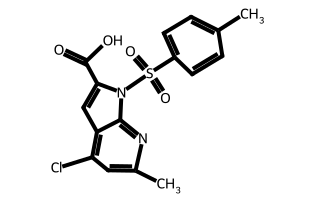 Cc1ccc(S(=O)(=O)n2c(C(=O)O)cc3c(Cl)cc(C)nc32)cc1